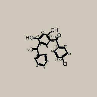 O=C(c1ccccc1)c1cc(C(=O)c2ccc(Cl)cc2)c(O)cc1O